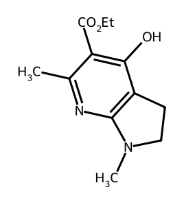 CCOC(=O)c1c(C)nc2c(c1O)CCN2C